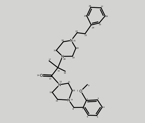 COc1ccccc1CN1CCN(C(=O)C(C)(C)N2CCN(CCc3ccccc3)CC2)CC1